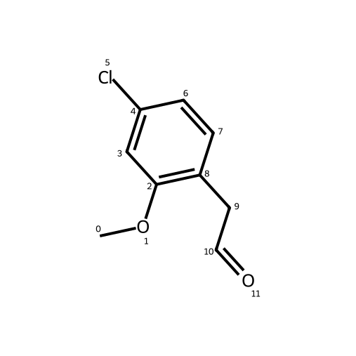 COc1cc(Cl)ccc1CC=O